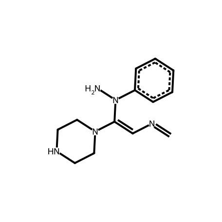 C=N/C=C(/N1CCNCC1)N(N)c1ccccc1